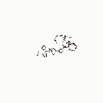 CC(C)(C)NC(=O)N1CC(OC(c2ccccc2)C2C=CC=CC2(F)C(F)(F)F)C1